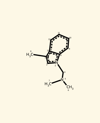 Cc1[c]n(CN(C)C)c2ccccc12